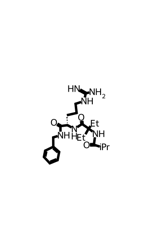 CCC(CC)(NC(=O)C(C)C)C(=O)N[C@@H](CCCNC(=N)N)C(=O)NCc1ccccc1